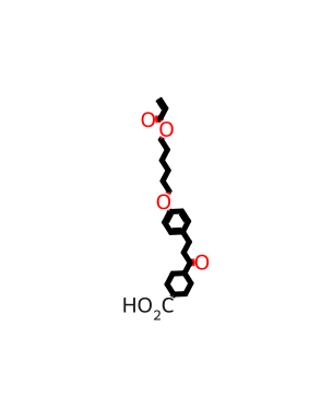 C=CC(=O)OCCCCCCOc1ccc(CCC(=O)C2CCC(C(=O)O)CC2)cc1